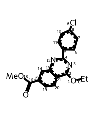 CCOc1nc(-c2ccc(Cl)cc2)nc2cc(C(=O)OC)ccc12